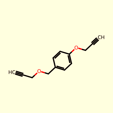 C#CCOCc1ccc(OCC#C)cc1